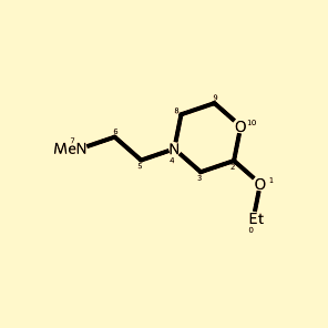 CCOC1CN(CCNC)CCO1